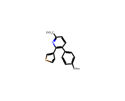 CCCCCCc1ccc(-c2ccc(C(=O)OCC)nc2-c2ccsc2)cc1